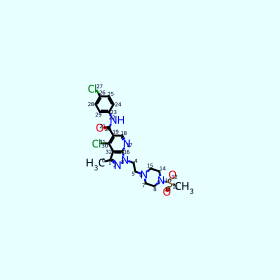 Cc1nn(CCN2CCN(S(C)(=O)=O)CC2)c2ncc(C(=O)Nc3ccc(Cl)cc3)c(Cl)c12